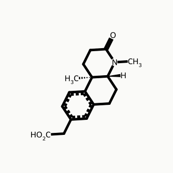 CN1C(=O)CC[C@]2(C)c3ccc(CC(=O)O)cc3CC[C@@H]12